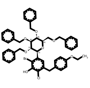 CCOc1ccc(Cc2cc([C@@H]3O[C@H](COCc4ccccc4)[C@@H](OCc4ccccc4)[C@H](OCc4ccccc4)[C@H]3OCc3ccccc3)c(Br)c(O)c2Cl)cc1